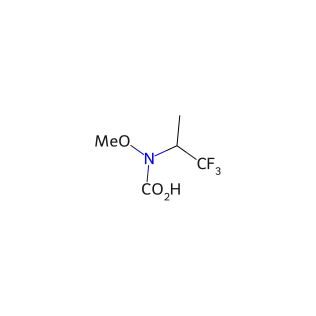 CON(C(=O)O)C(C)C(F)(F)F